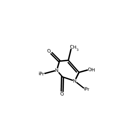 Cc1c(O)n(C(C)C)c(=O)n(C(C)C)c1=O